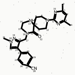 Cc1cc(C)nc(N2CCC3(CC2)NCCN(Cc2nn(C)cc2-c2ccc(C#N)cc2)C3=O)n1